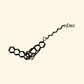 CCCCCCCCCCCCCCCCCCOc1ccc2c(c1)c1sc3c4cc5cc6ccccc6cc5cc4c4sc5c6ccccc6c6sc4c3sc2c6c51